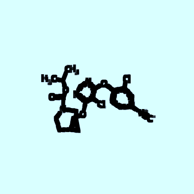 [C-]#[N+]c1ccc(Oc2ncnc(OCC34CCN(C(=O)OC(C)C)CC3C4)c2Cl)c(Cl)c1